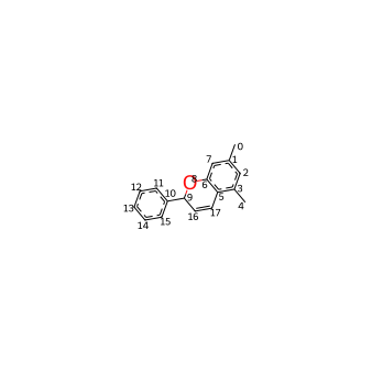 Cc1cc(C)c2c(c1)OC(c1ccccc1)C=C2